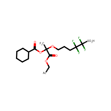 CC(=O)COC(=O)C(OCCCC(F)(F)C(F)(F)S(=O)(=O)O)(OC(=O)C1CCCCC1)C(F)(F)F